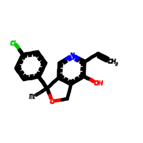 C=Cc1ncc2c(c1O)COC2(CC)c1ccc(Cl)cc1